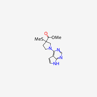 COC(=O)C1(SC)CCN(c2ncnc3[nH]ccc23)C1